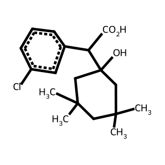 CC1(C)CC(C)(C)CC(O)(C(C(=O)O)c2cccc(Cl)c2)C1